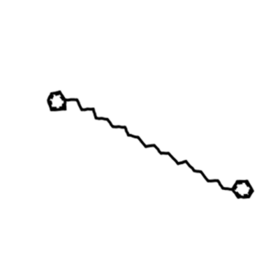 c1ccc(CCCCCCCCCCCCCCCCCCCCc2ccccc2)cc1